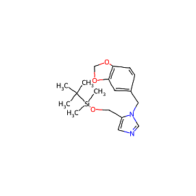 CC(C)(C)[Si](C)(C)OCc1cncn1Cc1ccc2c(c1)OCO2